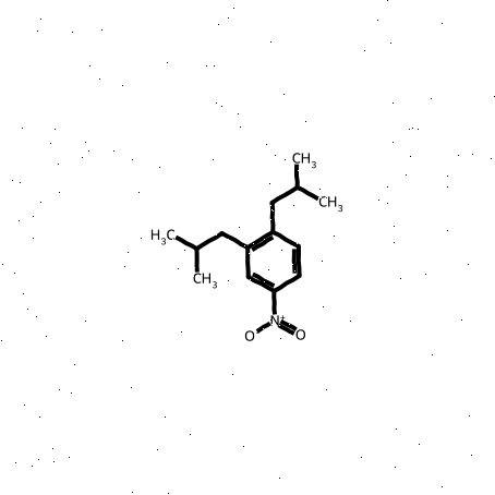 CC(C)Cc1ccc([N+](=O)[O-])cc1CC(C)C